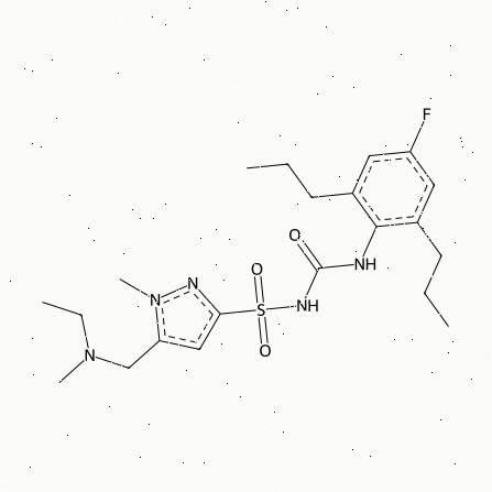 CCCc1cc(F)cc(CCC)c1NC(=O)NS(=O)(=O)c1cc(CN(C)CC)n(C)n1